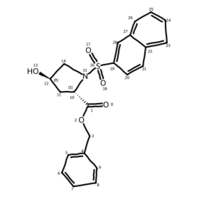 O=C(OCc1ccccc1)[C@@H]1C[C@@H](O)CN1S(=O)(=O)c1ccc2ccccc2c1